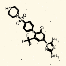 Nc1nc(N)n(-c2cc(Cl)c(-c3ccc(S(=O)(=O)N4CCNCC4)cc3)c(C(F)(F)F)c2)n1